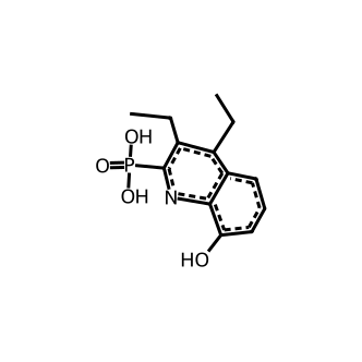 CCc1c(P(=O)(O)O)nc2c(O)cccc2c1CC